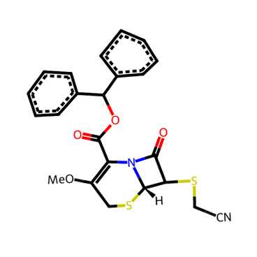 COC1=C(C(=O)OC(c2ccccc2)c2ccccc2)N2C(=O)C(SCC#N)[C@@H]2SC1